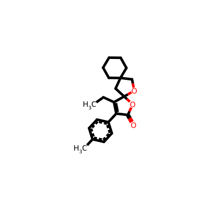 CCC1=C(c2ccc(C)cc2)C(=O)OC12CC1(CCCCC1)CO2